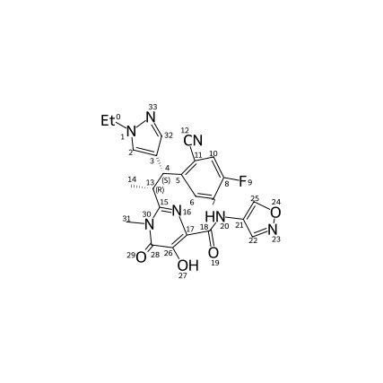 CCn1cc([C@H](c2ccc(F)cc2C#N)[C@@H](C)c2nc(C(=O)Nc3cnoc3)c(O)c(=O)n2C)cn1